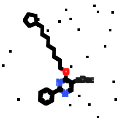 CCCCCCCCCCc1cnc(-c2ccccc2)nc1OCCCCCCCCC1CCCC1